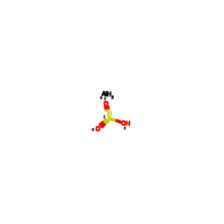 O=[SH](=O)O.[AlH3]